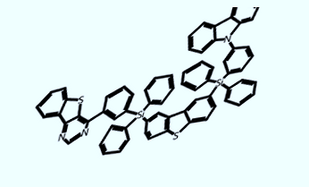 c1ccc([Si](c2ccccc2)(c2cccc(-c3ncnc4c3sc3ccccc34)c2)c2ccc3sc4ccc([Si](c5ccccc5)(c5ccccc5)c5cccc(-n6c7ccccc7c7ccccc76)c5)cc4c3c2)cc1